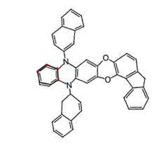 C1=CC(N(c2ccccc2)c2cc3c(cc2N(c2ccccc2)c2ccc4ccccc4c2)Oc2ccc4c(c2O3)-c2ccccc2C4)Cc2ccccc21